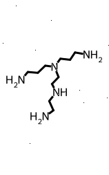 NCCCN(CCCN)CCNCCN